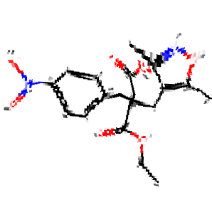 CCOC(=O)C(Cc1c(C)noc1C)(C(=O)O)c1ccc([N+](=O)[O-])cc1